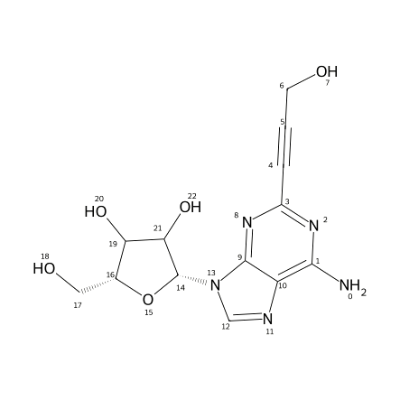 Nc1nc(C#CCO)nc2c1ncn2[C@@H]1O[C@H](CO)C(O)C1O